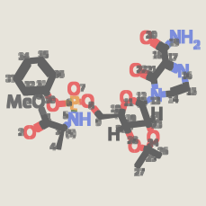 COC(=O)[C@H](C)NP(=O)(OC[C@H]1O[C@@H](n2ccnc(C(N)=O)c2=O)[C@@H]2OC(C)(C)O[C@@H]21)Oc1ccccc1